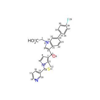 O=C(O)Cn1cc(C(=O)c2ccn3c2CSC3c2cccnc2)c2ccc(-c3ccc(F)cc3)cc21